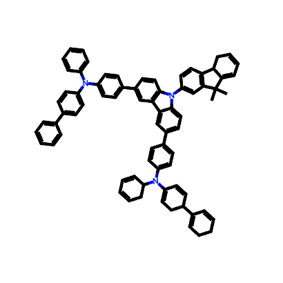 CC1(C)C2=CC=CCC2c2ccc(-n3c4ccc(-c5ccc(N(c6ccccc6)c6ccc(-c7ccccc7)cc6)cc5)cc4c4cc(-c5ccc(N(C6=CCC(C7=CCCC=C7)C=C6)C6C=CC=CC6)cc5)ccc43)cc21